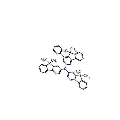 CC1(C)c2ccccc2-c2ccc(N(c3cc(-c4ccccc4)c4c(c3)-c3ccccc3C4(C)C)c3ccc4c(c3)C(C)(C)c3ccccc3-4)cc21